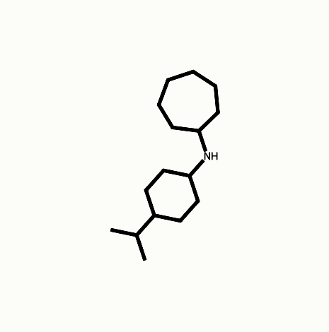 CC(C)C1CCC(NC2CCCCCC2)CC1